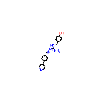 N/C(=N\N=C\c1ccc(-c2ccncc2)cc1)NCc1ccc(O)cc1